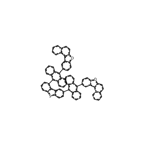 c1ccc2c(c1)ccc1oc3ccc(-c4c5ccccc5c(-c5ccc6sc7cccc(-c8c9ccccc9c(-c9ccc%10oc%11ccc%12ccccc%12c%11c%10c9)c9ccccc89)c7c6c5)c5ccccc45)cc3c12